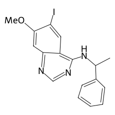 COc1cc2ncnc(NC(C)c3ccccc3)c2cc1I